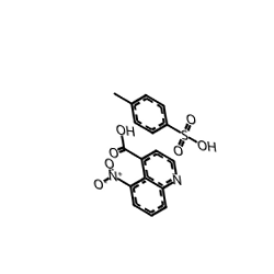 Cc1ccc(S(=O)(=O)O)cc1.O=C(O)c1ccnc2cccc([N+](=O)[O-])c12